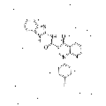 O=C(Nc1nc2ccccc2[nH]1)c1cn(-c2ccc(F)cc2)c2ncccc2c1=O